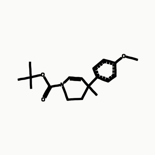 COc1ccc(C2(C)C=CN(C(=O)OC(C)(C)C)CC2)cc1